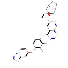 C=CC(=O)N1C2CCC1CC(Oc1cc3c(Nc4ccc(Oc5ccn6ncnc6c5)c(C)c4F)ncnc3cn1)C2